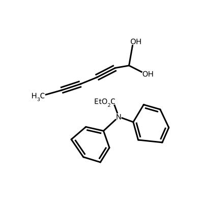 CC#CC#CC(O)O.CCOC(=O)N(c1ccccc1)c1ccccc1